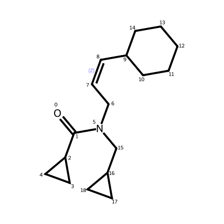 O=C(C1CC1)N(C/C=C\C1CCCCC1)CC1CC1